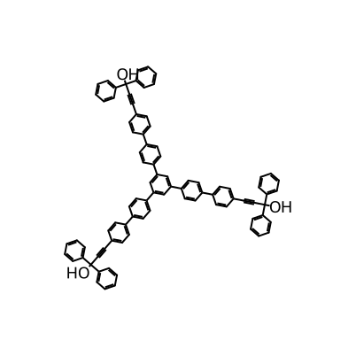 OC(C#Cc1ccc(-c2ccc(-c3cc(-c4ccc(-c5ccc(C#CC(O)(c6ccccc6)c6ccccc6)cc5)cc4)cc(-c4ccc(-c5ccc(C#CC(O)(c6ccccc6)c6ccccc6)cc5)cc4)c3)cc2)cc1)(c1ccccc1)c1ccccc1